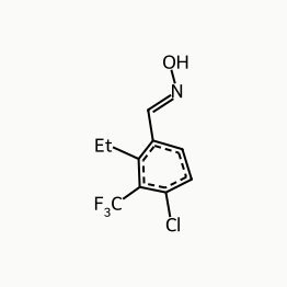 CCc1c(/C=N/O)ccc(Cl)c1C(F)(F)F